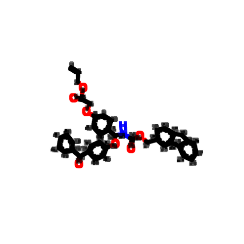 C=CCOC(=O)COc1ccc(C(NC(=O)OCc2ccc3c(c2)-c2ccccc2C3)Oc2ccc(C(=O)c3ccccc3)cc2)cc1